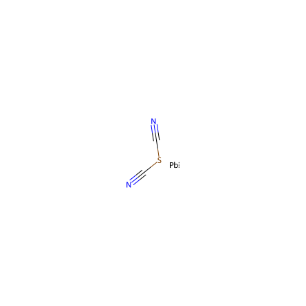 N#CSC#N.[Pb]